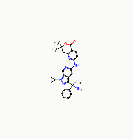 CC1(C)Cc2nc(Nc3cc4c(C(C)(N)c5ccccc5)nn(C5CC5)c4cn3)ccc2C(=O)O1